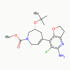 CC(C)(C)OC(=O)N1CC=C(c2c(F)c(N)nc3c2OCC3)C[C@@H](O[Si](C)(C)C(C)(C)C)C1